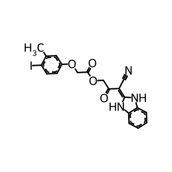 Cc1cc(OCC(=O)OCC(=O)C(C#N)=C2Nc3ccccc3N2)ccc1I